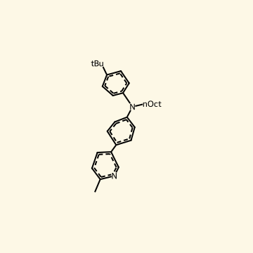 CCCCCCCCN(c1ccc(-c2ccc(C)nc2)cc1)c1ccc(C(C)(C)C)cc1